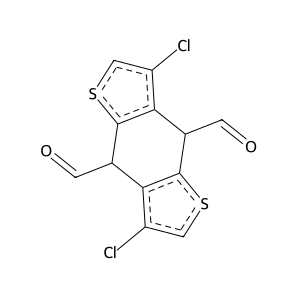 O=CC1c2scc(Cl)c2C(C=O)c2scc(Cl)c21